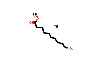 BOC(=O)CCCCCCCCCCCCCCCCC.[Ag]